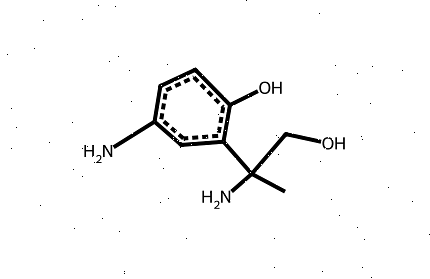 CC(N)(CO)c1cc(N)ccc1O